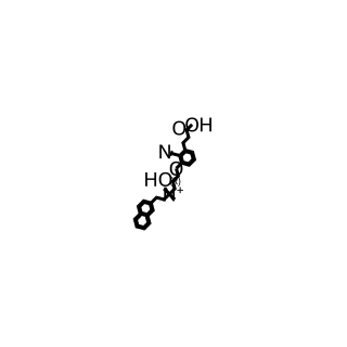 C[N+](C)(CCc1ccc2ccccc2c1)C[C@@H](O)COc1cccc(CCC(=O)O)c1C#N